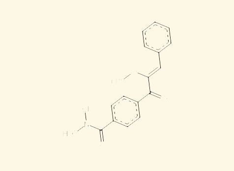 CCCOC(=Cc1ccccc1)C(=O)c1ccc(C(=O)N(C)C)cc1